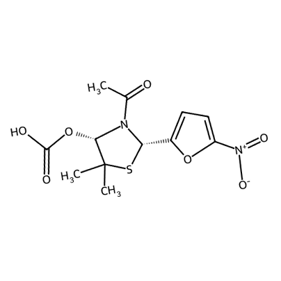 CC(=O)N1[C@@H](OC(=O)O)C(C)(C)S[C@H]1c1ccc([N+](=O)[O-])o1